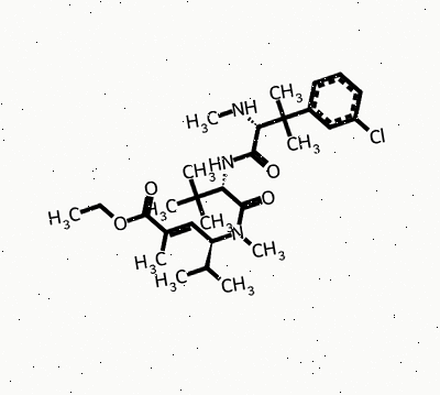 CCOC(=O)/C(C)=C/[C@H](C(C)C)N(C)C(=O)[C@@H](NC(=O)[C@H](NC)C(C)(C)c1cccc(Cl)c1)C(C)(C)C